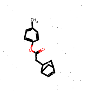 Cc1ccc(OC(=O)CC2CC3C=CC2C3)cc1